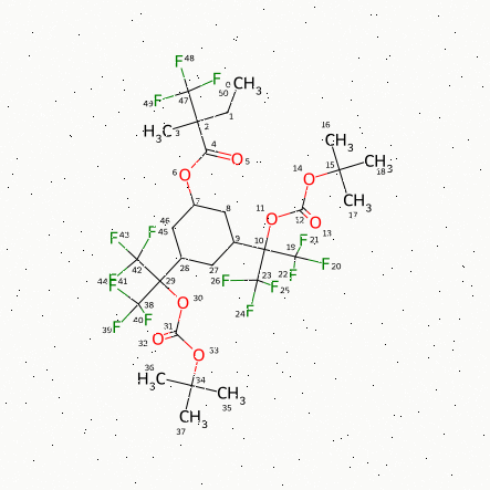 CCC(C)(C(=O)OC1CC(C(OC(=O)OC(C)(C)C)(C(F)(F)F)C(F)(F)F)CC(C(OC(=O)OC(C)(C)C)(C(F)(F)F)C(F)(F)F)C1)C(F)(F)F